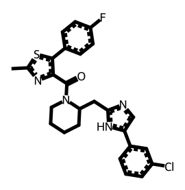 Cc1nc(C(=O)N2CCCCC2Cc2ncc(-c3cccc(Cl)c3)[nH]2)c(-c2ccc(F)cc2)s1